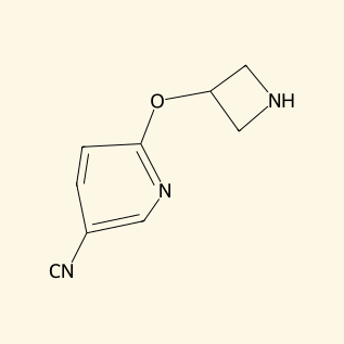 [C-]#[N+]c1ccc(OC2CNC2)nc1